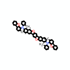 Cc1ccccc1N(c1ccc2cc3c(cc2c1)oc1cc2c(cc13)oc1cc3cc(N(c4ccccc4C)c4c(C)ccc5c4oc4ccccc45)ccc3cc12)c1c(C)ccc2c1oc1ccccc12